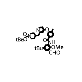 COc1c(C=O)cc(C(C)(C)C)cc1NC(=O)c1ccc(C)c(Oc2ccnc(CC3CCN(C(=O)OC(C)(C)C)CC3)c2)c1